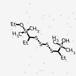 CCO[Si](C)(C)C(CC)SSSSC(CC)[Si](C)(C)O